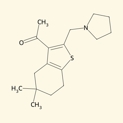 CC(=O)c1c(CN2CCCC2)sc2c1CC(C)(C)CC2